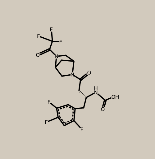 O=C(O)N[C@@H](CC(=O)N1CC2CC1CN2C(=O)C(F)(F)F)Cc1cc(F)c(F)cc1F